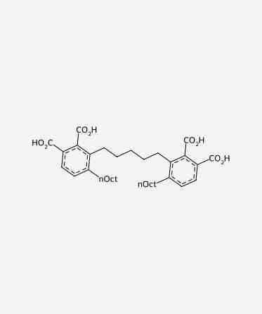 CCCCCCCCc1ccc(C(=O)O)c(C(=O)O)c1CCCCCc1c(CCCCCCCC)ccc(C(=O)O)c1C(=O)O